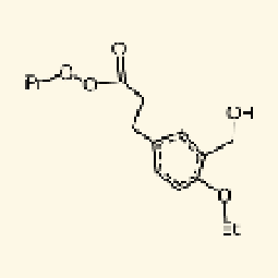 CCOc1ccc(CCC(=O)OOC(C)C)cc1CO